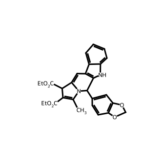 CCOC(=O)C1=C(C)N2C(=Cc3c([nH]c4ccccc34)C2c2ccc3c(c2)OCO3)C1C(=O)OCC